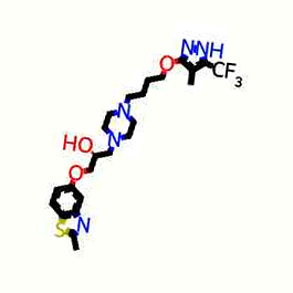 Cc1nc2cc(OC[C@H](O)CN3CCN(CCCCOc4n[nH]c(C(F)(F)F)c4C)CC3)ccc2s1